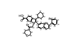 O=C(O)c1ccc2c(C3CCCCC3)c(-c3ccc4ncc(-c5ccccc5F)nc4c3)n(CC(=O)N3CCOCC3)c2c1